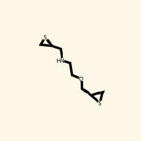 C(COCC1CS1)NCC1CS1